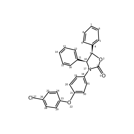 O=C1O[C@H](c2ccccc2)[C@H](c2ccccc2)N1c1ccc(Oc2ccc(Cl)cc2)cc1